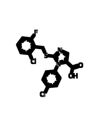 O=C(O)c1cnc(SCc2c(F)cccc2Cl)n1-c1ccc(Cl)cc1